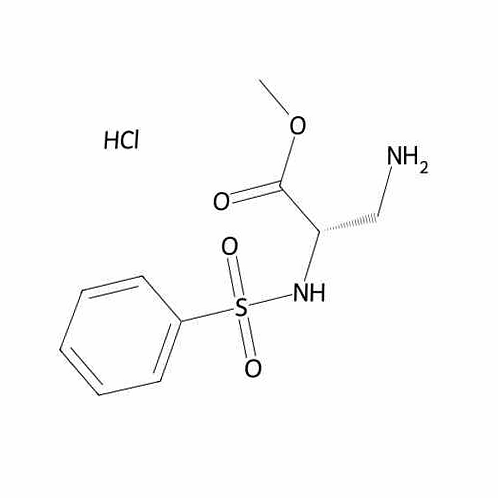 COC(=O)[C@H](CN)NS(=O)(=O)c1ccccc1.Cl